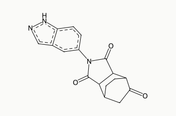 O=C1CC2CCC1C1C(=O)N(c3ccc4[nH]ncc4c3)C(=O)C21